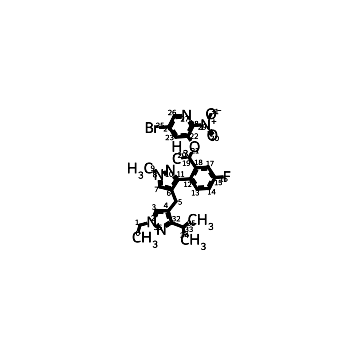 CCn1cc(Cc2cn(C)nc2-c2ccc(F)cc2[C@@H](C)Oc2cc(Br)cnc2[N+](=O)[O-])c(C(C)C)n1